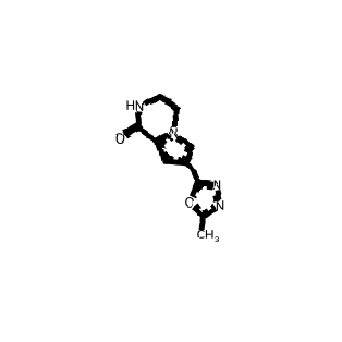 Cc1nnc(-c2cc3n(c2)CCNC3=O)o1